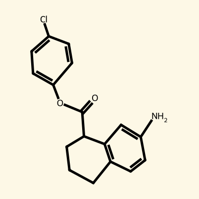 Nc1ccc2c(c1)C(C(=O)Oc1ccc(Cl)cc1)CCC2